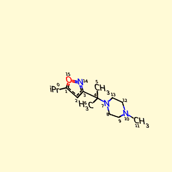 CC(C)c1cc(C(C)(C)N2CCN(C)CC2)no1